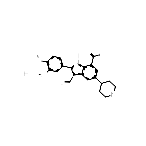 C=C(C)c1cc(C2CCNCC2)cc2c(CC)c(-c3ccc(OC)c(OC)c3)[nH]c12